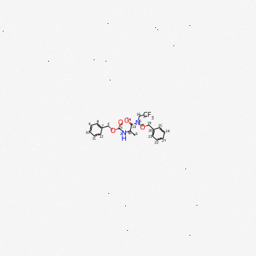 C[C@@H](NC(=O)OCc1ccccc1)C(=O)N(CC(F)(F)F)OCc1ccccc1